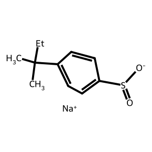 CCC(C)(C)c1ccc(S(=O)[O-])cc1.[Na+]